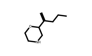 C=C(CCC)C1CNCCO1